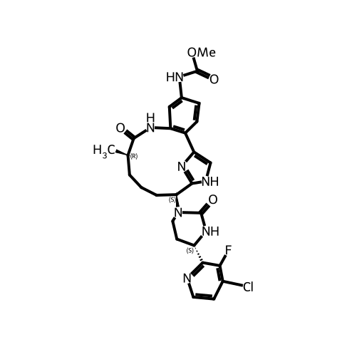 COC(=O)Nc1ccc2c(c1)NC(=O)[C@H](C)CCC[C@H](N1CC[C@@H](c3nccc(Cl)c3F)NC1=O)c1nc-2c[nH]1